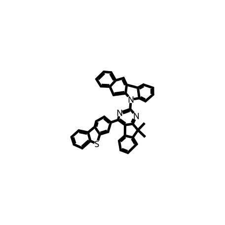 CC1(C)c2ccccc2-c2c(-c3ccc4c(c3)sc3ccccc34)nc(-n3c4ccccc4c4cc5ccccc5cc43)nc21